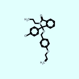 C=CCOc1ccc(COC2(c3ccc(Cl)cc3)c3ccccc3C(=O)N2CCC)cc1